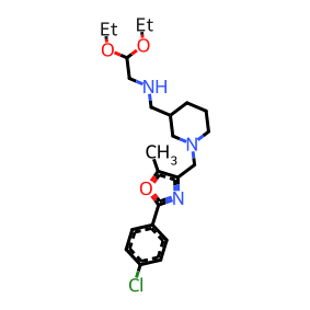 CCOC(CNCC1CCCN(Cc2nc(-c3ccc(Cl)cc3)oc2C)C1)OCC